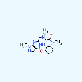 CN(CC(=O)N(C)C1CCCCC1)Cc1nc2c(cnn2C)c(=O)[nH]1